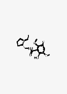 CCN1CCC[C@H]1CNC(=O)c1c(O)c(OC)cc(Cl)c1OC